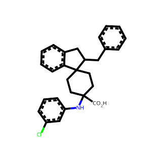 O=C(O)C1(Nc2cccc(Cl)c2)CCC2(CC1)c1ccccc1CC2Cc1ccccc1